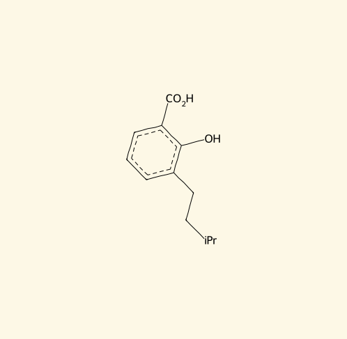 CC(C)CCc1cccc(C(=O)O)c1O